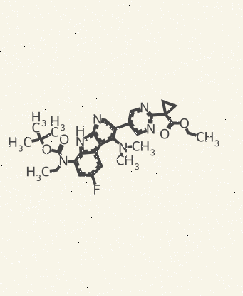 CCOC(=O)C1(c2ncc(-c3cnc4[nH]c5c(N(CC)C(=O)OC(C)(C)C)cc(F)cc5c4c3N(C)C)cn2)CC1